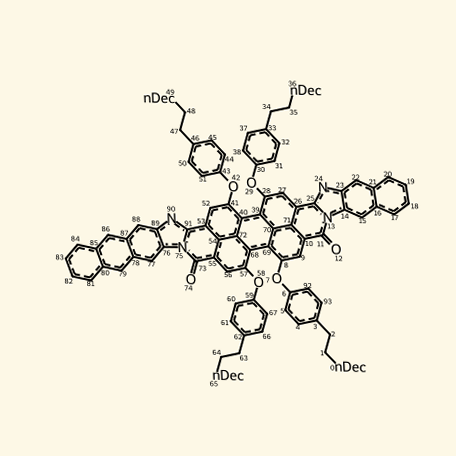 CCCCCCCCCCCCc1ccc(Oc2cc3c(=O)n4c5cc6ccccc6cc5nc4c4cc(Oc5ccc(CCCCCCCCCCCC)cc5)c5c6c(Oc7ccc(CCCCCCCCCCCC)cc7)cc7c8c(cc(Oc9ccc(CCCCCCCCCCCC)cc9)c(c2c5c34)c68)c(=O)n2c3cc4cc5ccccc5cc4cc3nc72)cc1